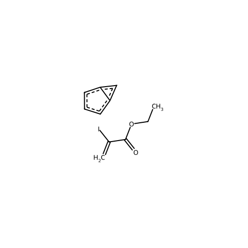 C=C(I)C(=O)OCC.c1cc2cc-2c1